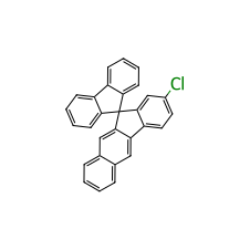 Clc1ccc2c(c1)C1(c3ccccc3-c3ccccc31)c1cc3ccccc3cc1-2